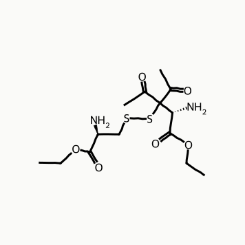 CCOC(=O)[C@@H](N)C(SSC[C@H](N)C(=O)OCC)(C(C)=O)C(C)=O